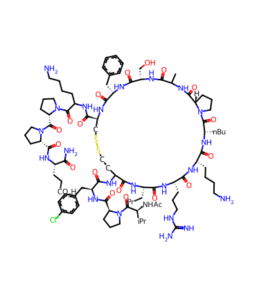 CCCC[C@@H]1NC(=O)[C@H](CCCCN)NC(=O)[C@H](CCCNC(=N)N)NC(=O)[C@H](CC(C)C)NC(=O)C(NC(=O)[C@H](Cc2ccc(Cl)cc2)NC(=O)[C@@H]2CCCN2C(=O)[C@@H](NC(C)=O)C(C)C)CCSSC[C@@H](C(=O)NC(CCCCN)C(=O)N2CCC[C@H]2C(=O)N2CCC[C@H]2C(=O)N[C@@H](CCC(=O)O)C(N)=O)NC(=O)[C@H](Cc2ccccc2)NC(=O)[C@H](CO)NC(=O)C(C)NC(=O)[C@@H]2CCCN2C1=O